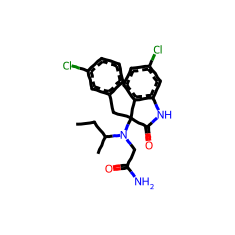 CCC(C)N(CC(N)=O)C1(Cc2cccc(Cl)c2)C(=O)Nc2cc(Cl)ccc21